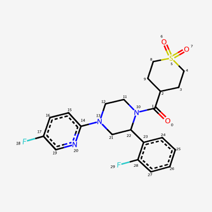 O=C(C1CCS(=O)(=O)CC1)N1CCN(c2ccc(F)cn2)CC1c1ccccc1F